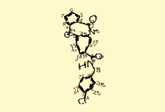 CN1C(=O)c2ccccc2[S+]([O-])c2ccc(C(=O)NCc3ccc(Cl)cc3)cc21